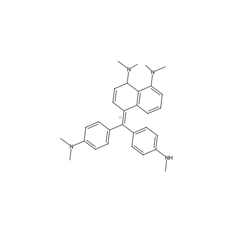 CNc1ccc(/C(=C2/C=CC(N(C)C)c3c2cccc3N(C)C)c2ccc(N(C)C)cc2)cc1